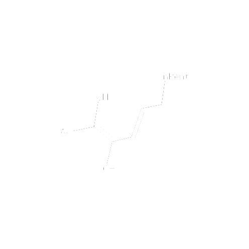 CCCCCCC=CC(C)=C(C)C(C)=O